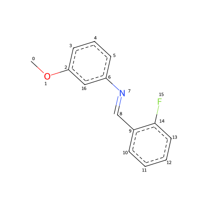 COc1cccc(/N=C/c2ccccc2F)c1